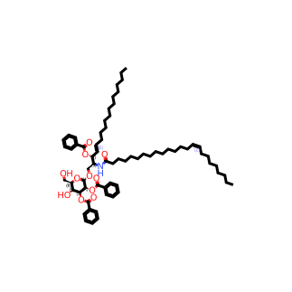 CCCCCCCC/C=C\CCCCCCCCCCCCCC(=O)N[C@@H](CO[C@H]1O[C@H](CO)[C@H](O)[C@H](OC(=O)c2ccccc2)[C@H]1OC(=O)c1ccccc1)[C@@H](/C=C/CCCCCCCCCCCCC)OC(=O)c1ccccc1